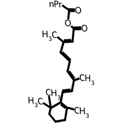 CCCC(=O)OC(=O)C=C(C)C=CC=C(C)C=CC1=C(C)CCCC1(C)C